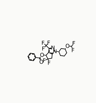 O=C(O[C@H]1c2c(C(F)(F)F)nn([C@@H]3CCC[C@@H](OC(F)F)C3)c2CC1(F)F)c1ccccc1